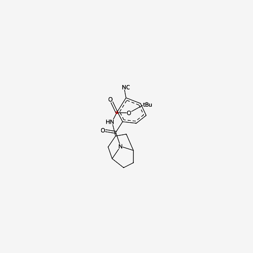 [C-]#[N+]c1cccc(C(=O)N2C3CCC2CC(NC(=O)OC(C)(C)C)C3)c1